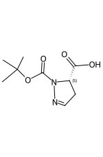 CC(C)(C)OC(=O)N1N=CC[C@H]1C(=O)O